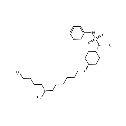 CCCCCN(C)CCCCCCO[C@H]1CC[C@H](N(C)S(=O)(=O)Nc2ccccc2)CC1